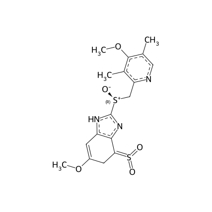 COC1=Cc2[nH]c([S@@+]([O-])Cc3ncc(C)c(OC)c3C)nc2C(=S(=O)=O)C1